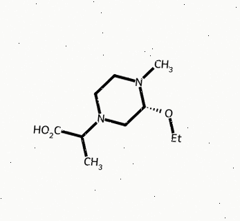 CCO[C@@H]1CN(C(C)C(=O)O)CCN1C